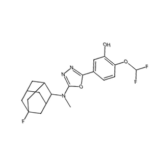 CN(c1nnc(-c2ccc(OC(F)F)c(O)c2)o1)C1C2CC3CC1CC(F)(C3)C2